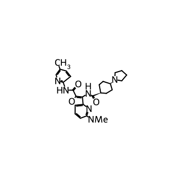 CNc1ccc2oc(C(=O)Nc3ccc(C)cn3)c(NC(=O)[C@H]3CC[C@H](N4CCCC4)CC3)c2n1